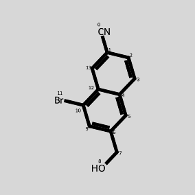 N#Cc1ccc2cc(CO)cc(Br)c2c1